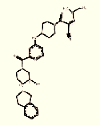 CN(C)/C=C(/C#N)C(=O)N1CCC(Nc2cc(C(=O)N3CC[C@@H](N4CCc5ccccc5C4)[C@H](O)C3)ncn2)CC1